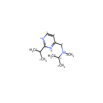 CC(C)c1nccc(CN(C)C(C)C)n1